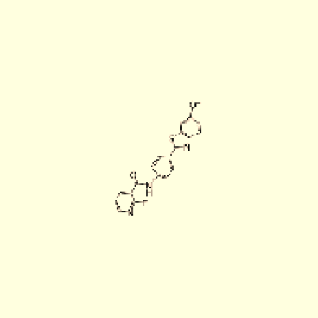 COc1ccc2nc(-c3ccc(NC(=O)c4cccnc4F)cc3)sc2c1